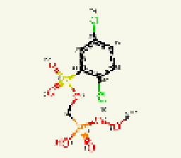 CCOOP(=O)(O)COS(=O)(=O)c1cc(Cl)ccc1Cl